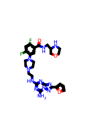 Nc1nc(NCCN2CCN(c3cc(C(=O)NCC4COCCN4)c(F)cc3F)CC2)nc2nc(-c3ccco3)nn12